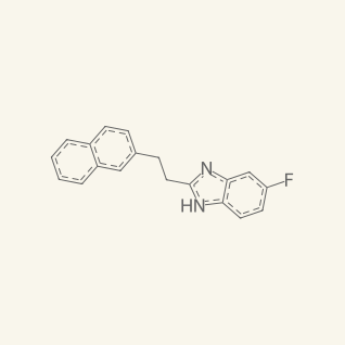 Fc1ccc2[nH]c(CCc3ccc4ccccc4c3)nc2c1